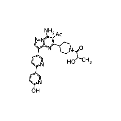 CC(=O)c1c(C2CCN(C(=O)[C@@H](C)O)CC2)nc2c(-c3ccc(-c4ccc(O)nc4)nc3)cnn2c1N